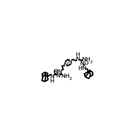 NC(=NC(=O)NCC12CC3CC(CC(C3)C1)C2)NCCN1CCN(CCNC(N)=NC(=O)NCC23CC4CC(CC(C4)C2)C3)CC1